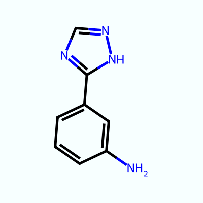 Nc1cccc(-c2ncn[nH]2)c1